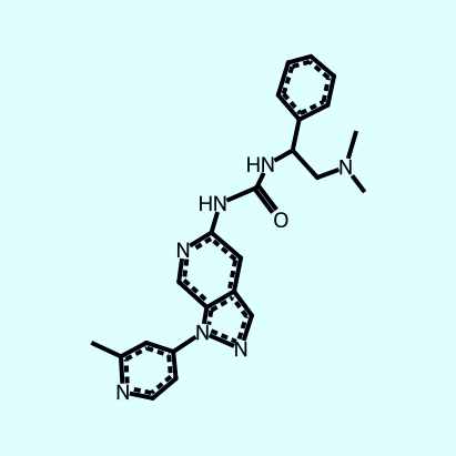 Cc1cc(-n2ncc3cc(NC(=O)NC(CN(C)C)c4ccccc4)ncc32)ccn1